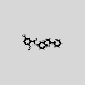 COc1ccc(Cl)cc1C(=O)Nc1ccc2nc(-c3ccccn3)cnc2c1